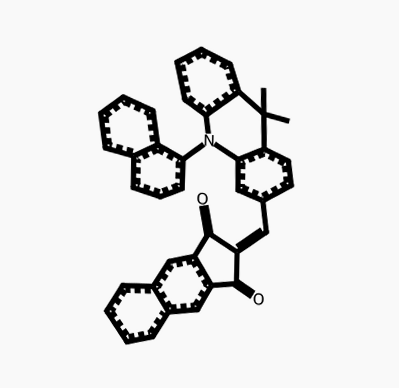 CC1(C)c2ccccc2N(c2cccc3ccccc23)c2cc(C=C3C(=O)c4cc5ccccc5cc4C3=O)ccc21